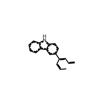 C=C/C=C(\C=C/C)c1ccc2[nH]c3ccccc3c2c1